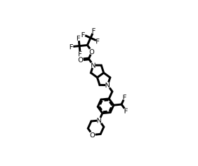 O=C(OC(C(F)(F)F)C(F)(F)F)N1CC2CN(Cc3ccc(N4CCOCC4)cc3C(F)F)CC2C1